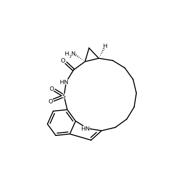 N[C@]12C[C@H]1CCCCCCCc1cc3cccc(c3[nH]1)S(=O)(=O)NC2=O